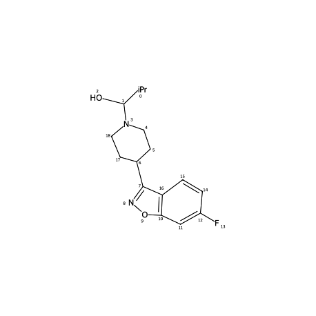 CC(C)C(O)N1CCC(c2noc3cc(F)ccc23)CC1